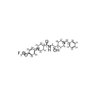 O=C(NCC(O)C1CCN(Cc2ccccc2)CC1)C1CCN(c2ccc(OC(F)(F)F)cc2)CC1